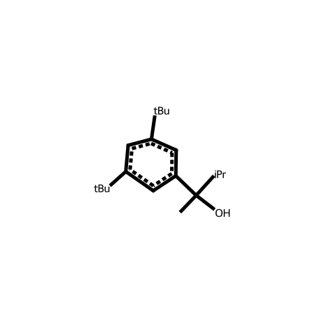 CC(C)C(C)(O)c1cc(C(C)(C)C)cc(C(C)(C)C)c1